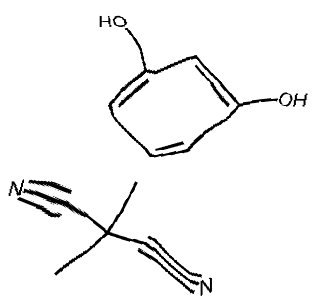 CC(C)(C#N)C#N.Oc1cccc(O)c1